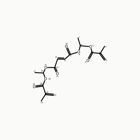 C=C(C)C(=O)OC(C)OC(=O)C=CC(=O)OC(C)OC(=O)C(=C)C